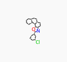 Clc1cccc(-c2nc3ccc4ccc5ccccc5c4c3o2)c1